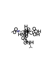 CCOC(=O)/C=C/CC[C@H](NS(=O)(=O)c1ccc(O)c(C(=O)O)c1)C(=O)Nc1cccn(CC(=O)NCCC(C)C)c1=O